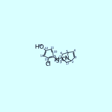 CN1C2C=CC1CC(Sc1ccc(O)cc1Cl)C2